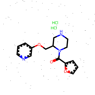 Cl.Cl.O=C(c1ccco1)N1CCNCC1COc1cccnc1